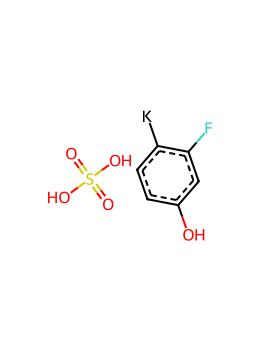 O=S(=O)(O)O.Oc1cc[c]([K])c(F)c1